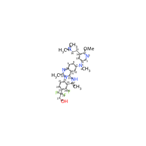 COc1ncc(N(C)c2ccc3nc(C)nc(N[C@H](C)c4cccc(C(F)(F)CO)c4F)c3c2)cc1CCN(C)C